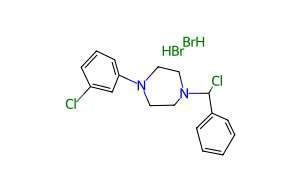 Br.Br.Clc1cccc(N2CCN(C(Cl)c3ccccc3)CC2)c1